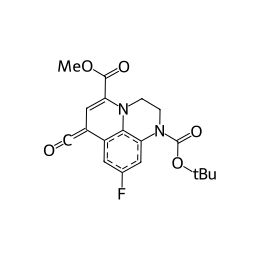 COC(=O)C1=CC(=C=O)c2cc(F)cc3c2N1CCN3C(=O)OC(C)(C)C